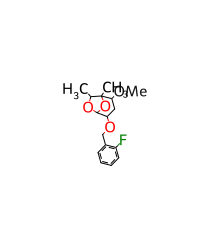 COC1CC(OCc2ccccc2F)C2OC(C)C1(C)O2